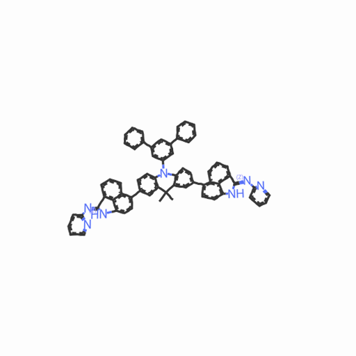 CC1(C)c2cc(-c3ccc4c5c(cccc35)/C(=N/c3ccccn3)N4)ccc2N(c2cc(-c3ccccc3)cc(-c3ccccc3)c2)c2ccc(-c3ccc4c5c(cccc35)/C(=N/c3ccccn3)N4)cc21